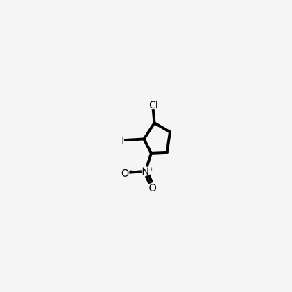 O=[N+]([O-])C1CCC(Cl)C1I